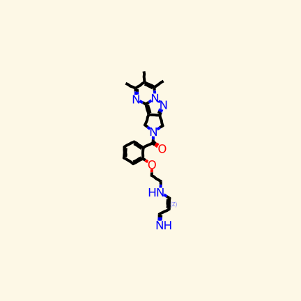 Cc1nc2c3c(nn2c(C)c1C)CN(C(=O)c1ccccc1OCCN/C=C\C=N)C3